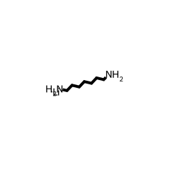 NCCCCCCCN.[Li]